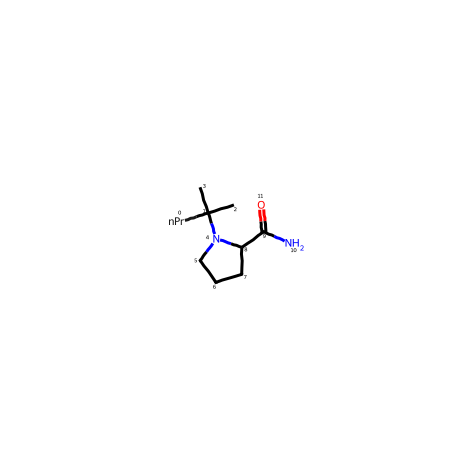 CCCC(C)(C)N1CCCC1C(N)=O